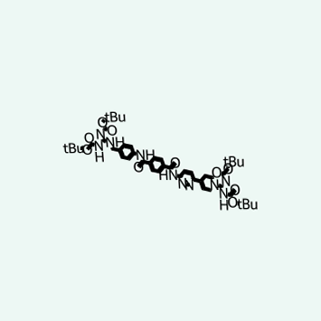 CC(C)(C)OC(=O)/N=C(/NC(=O)OC(C)(C)C)N1CC=C(c2ccc(NC(=O)c3ccc(C(=O)Nc4ccc(CN/C(=N\C(=O)OC(C)(C)C)NC(=O)OC(C)(C)C)cc4)cc3)nn2)CC1